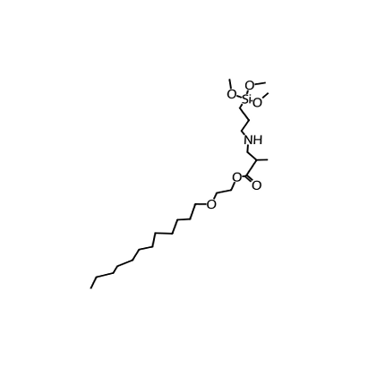 CCCCCCCCCCCCOCCOC(=O)C(C)CNCCC[Si](OC)(OC)OC